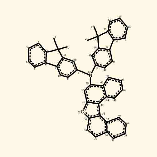 CC1(C)c2ccccc2-c2ccc(N(c3ccc4c(c3)C(C)(C)c3ccccc3-4)c3cc4oc5ccc6ccccc6c5c4c4ccccc34)cc21